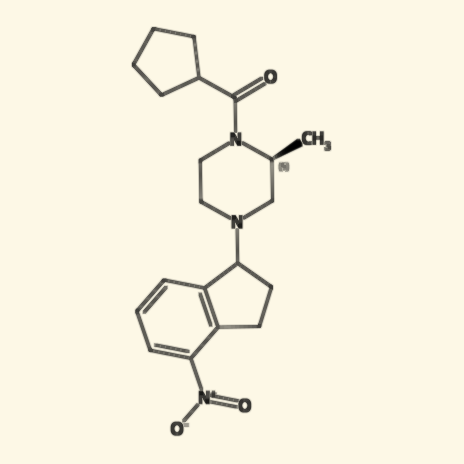 C[C@H]1CN(C2CCc3c2cccc3[N+](=O)[O-])CCN1C(=O)C1CCCC1